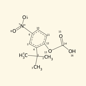 CC(C)(C)c1cc([N+](=O)[O-])ccc1OC(=O)O